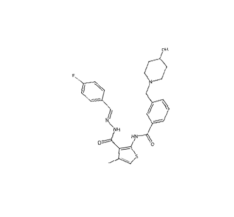 Cc1csc(NC(=O)c2cccc(CN3CCC(O)CC3)c2)c1C(=O)NN=Cc1ccc(F)cc1